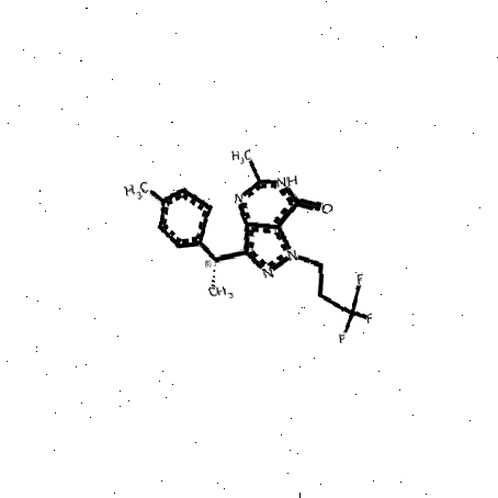 Cc1ccc([C@@H](C)c2nn(CCC(F)(F)F)c3c(=O)[nH]c(C)nc23)cc1